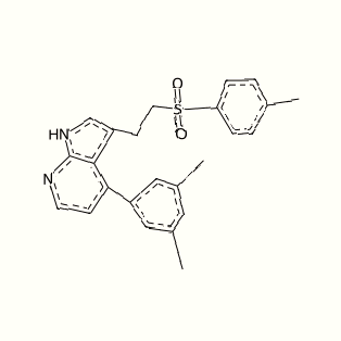 Cc1ccc(S(=O)(=O)CCc2c[nH]c3nccc(-c4cc(C)cc(C)c4)c23)cc1